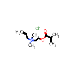 C=CC[N+](C)(C)CCOC(=O)C(=C)C.[Cl-]